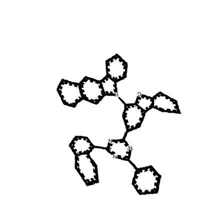 c1ccc(-c2nc(-c3cc(-n4c5ccccc5c5cc6ccccc6cc54)c4oc5ccccc5c4c3)nc(-c3cccc4ccccc34)n2)cc1